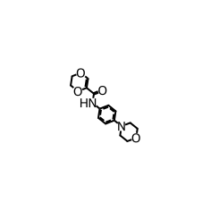 O=C(Nc1ccc(N2CCOCC2)cc1)C1=COCCO1